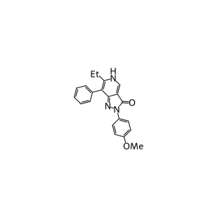 CCc1[nH]cc2c(=O)n(-c3ccc(OC)cc3)nc-2c1-c1ccccc1